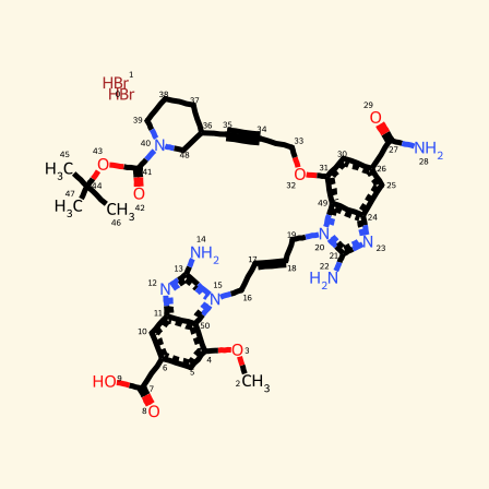 Br.Br.COc1cc(C(=O)O)cc2nc(N)n(CC=CCn3c(N)nc4cc(C(N)=O)cc(OCC#CC5CCCN(C(=O)OC(C)(C)C)C5)c43)c12